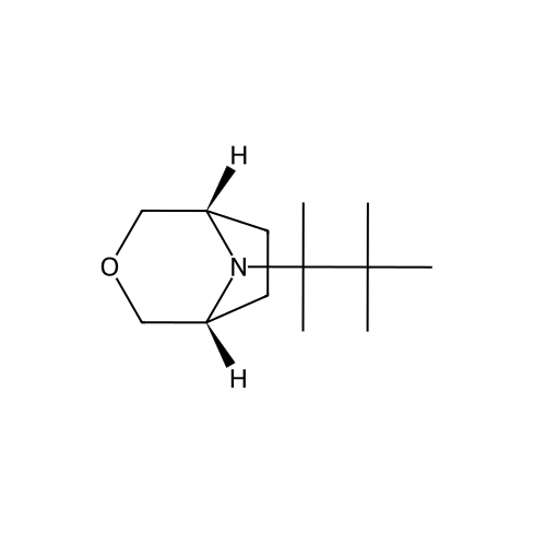 CC(C)(C)C(C)(C)N1[C@@H]2CC[C@H]1COC2